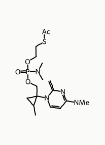 C=C1N=C(NC)C=CN1C1(COP(=O)(OCCSC(C)=O)N(C)C)CC1C